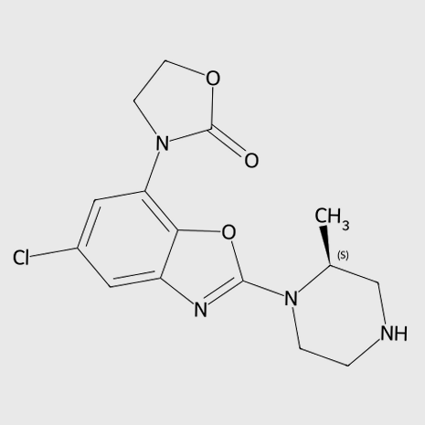 C[C@H]1CNCCN1c1nc2cc(Cl)cc(N3CCOC3=O)c2o1